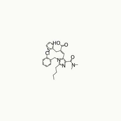 CCCCc1nc(C(=O)N(C)C)c(/C=C(\Cc2cccs2)C(=O)O)n1Cc1ccccc1Cl